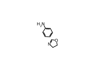 C1=NCCO1.Nc1ccccc1